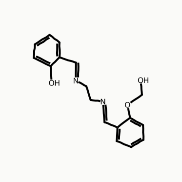 OCOc1ccccc1/C=N/CC/N=C/c1ccccc1O